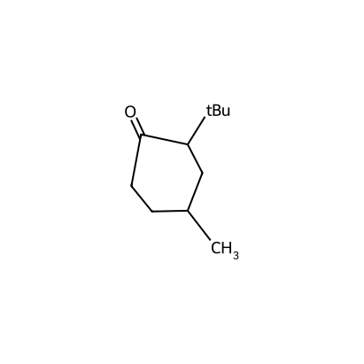 CC1CCC(=O)C(C(C)(C)C)C1